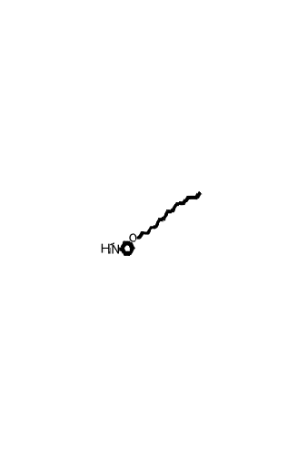 CCCCCCCCCCCCCCOc1cccc(NC)c1